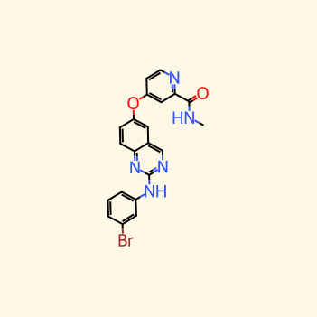 CNC(=O)c1cc(Oc2ccc3nc(Nc4cccc(Br)c4)ncc3c2)ccn1